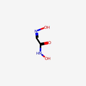 O=C(/C=N\O)NO